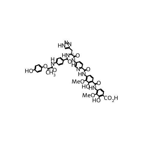 COc1c(NC(=O)c2ccc(NC(=O)c3ccc(NC(=O)[C@H](Cc4c[nH]nn4)NC(=O)c4ccc(NC(=O)[C@@H](C)Oc5ccc(O)cc5)cc4)cn3)c(OC)c2O)ccc(C(=O)O)c1O